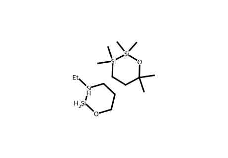 CC1(C)CC[Si](C)(C)[Si](C)(C)O1.CC[SiH]1CCCO[SiH2]1